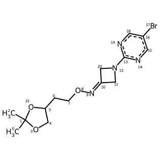 CC1(C)OCC(CCON=C2CN(c3ncc(Br)cn3)C2)O1